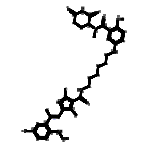 C/C(=C\c1[nH]c(C)c(C(=O)NCCCCCCNc2ccc(C=O)c(C(=O)N(C)C3CCC(=O)NC3=O)c2)c1C)c1cc(F)ccc1NC=O